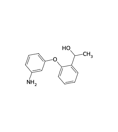 CC(O)c1ccccc1Oc1cccc(N)c1